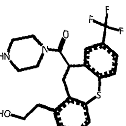 O=C(C1Cc2c(CCO)cccc2Sc2ccc(C(F)(F)F)cc21)N1CCNCC1